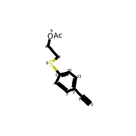 C#Cc1ccc(SCCOC(C)=O)cc1